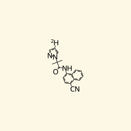 [2H]c1cnn(C(C)(C)C(=O)Nc2ccc(C#N)c3ccccc23)c1